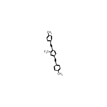 Cc1ccc(C#Cc2ccc(C#Cc3ccc(C)cc3)c(C(F)(F)F)c2)cc1